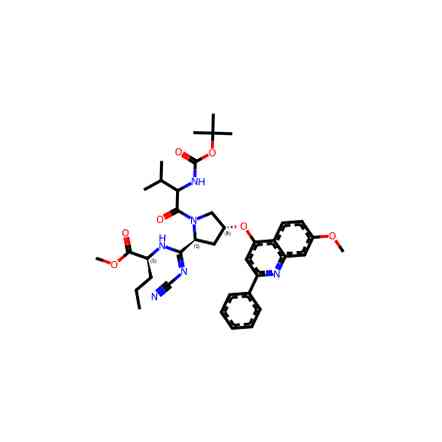 CCC[C@H](NC(=NC#N)[C@@H]1C[C@@H](Oc2cc(-c3ccccc3)nc3cc(OC)ccc23)CN1C(=O)C(NC(=O)OC(C)(C)C)C(C)C)C(=O)OC